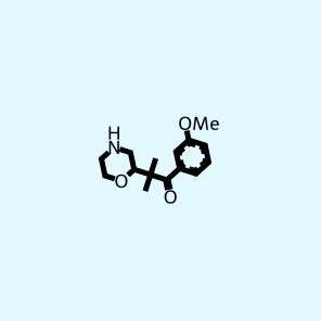 COc1cccc(C(=O)C(C)(C)C2CNCCO2)c1